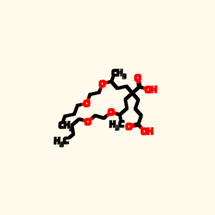 CCCCOCCOC(C)CCC(CCCC(=O)O)(CCC(C)OCCOCCCC)C(=O)O